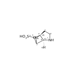 O=S(=O)(O)N1C2O[C@@]13CCN[C@@H]23